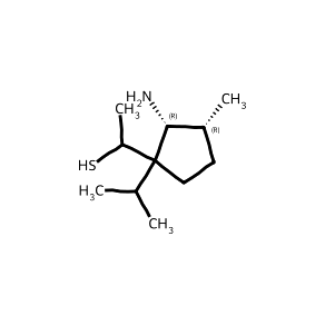 CC(C)C1(C(C)S)CC[C@@H](C)[C@H]1N